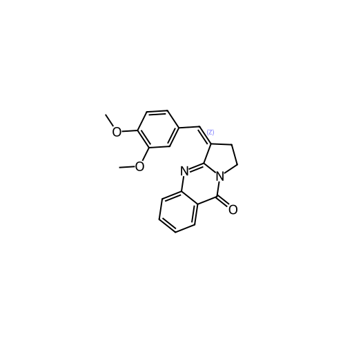 COc1ccc(/C=C2/CCn3c2nc2ccccc2c3=O)cc1OC